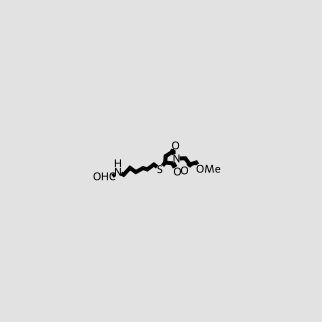 COCC(=O)CN1C(=O)CC(SCCCCCCNC=O)C1=O